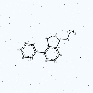 NC[C@H]1OCc2c(-c3ccncn3)cccc21